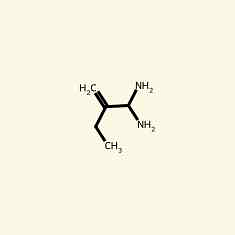 C=C(CC)C(N)N